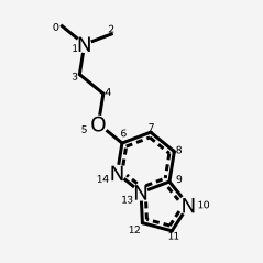 CN(C)CCOc1ccc2nccn2n1